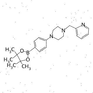 CC1(C)OB(c2ccc(N3CCN(Cc4ccccn4)CC3)cc2)OC1(C)C